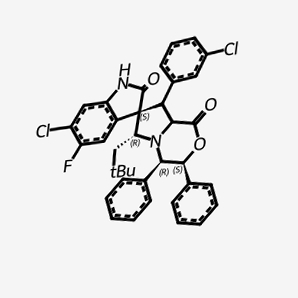 CC(C)(C)C[C@H]1N2C(C(=O)O[C@@H](c3ccccc3)[C@H]2c2ccccc2)C(c2cccc(Cl)c2)[C@@]12C(=O)Nc1cc(Cl)c(F)cc12